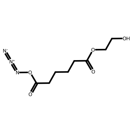 [N-]=[N+]=NOC(=O)CCCCC(=O)OCCO